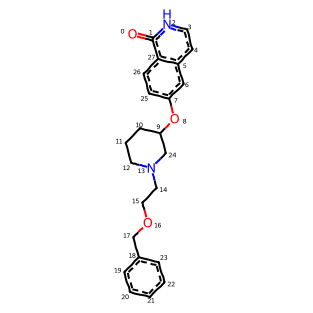 O=c1[nH]ccc2cc(OC3CCCN(CCOCc4ccccc4)C3)ccc12